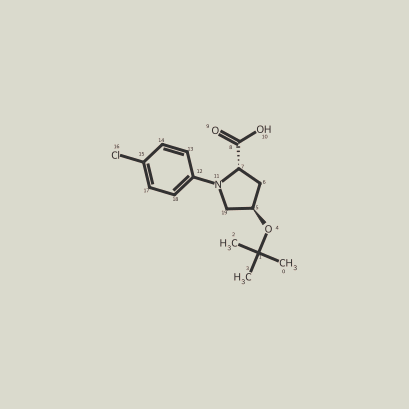 CC(C)(C)O[C@@H]1C[C@@H](C(=O)O)N(c2ccc(Cl)cc2)C1